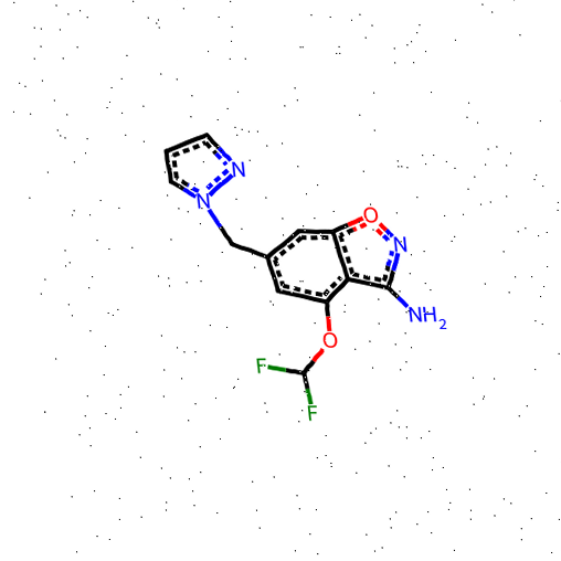 Nc1noc2cc(Cn3cccn3)cc(OC(F)F)c12